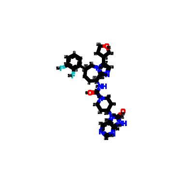 O=C(N[C@@H]1CC[C@@H](c2cccc(F)c2F)Cn2c(C3CCOC3)cnc21)N1CCC(n2c(=O)[nH]c3ncncc32)CC1